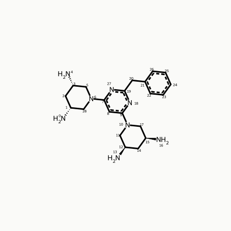 N[C@@H]1C[C@H](N)CN(c2cc(N3C[C@H](N)C[C@H](N)C3)nc(Cc3ccccc3)n2)C1